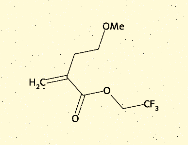 C=C(CCOC)C(=O)OCC(F)(F)F